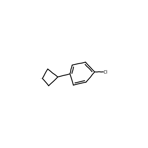 Clc1ccc(C2C[CH]C2)cc1